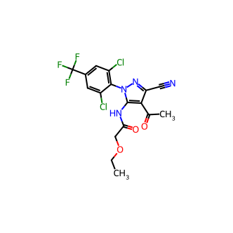 CCOCC(=O)Nc1c(C(C)=O)c(C#N)nn1-c1c(Cl)cc(C(F)(F)F)cc1Cl